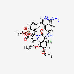 CCOc1cc([C@H](Nc2ccc3c(N)nccc3c2)C(=O)N2CC[C@H](C(=O)O)[C@@H]2c2ccccc2S(=O)(=O)CC)c(F)cc1OC